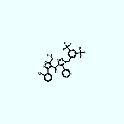 O=C(c1nnn(Cc2cc(C(F)(F)F)cc(C(F)(F)F)c2)c1-c1cccnc1)c1c(-c2ccccc2Cl)noc1CO